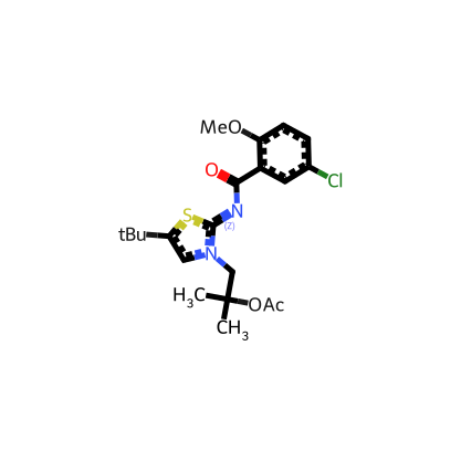 COc1ccc(Cl)cc1C(=O)/N=c1\sc(C(C)(C)C)cn1CC(C)(C)OC(C)=O